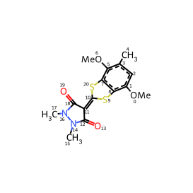 COc1cc(C)c(OC)c2c1SC(=C1C(=O)N(C)N(C)C1=O)S2